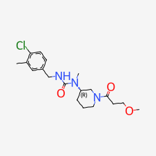 COCCC(=O)N1CCC[C@@H](N(C)C(=O)NCc2ccc(Cl)c(C)c2)C1